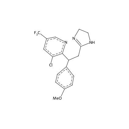 COc1ccc(C(CC2=NCCN2)c2ncc(C(F)(F)F)cc2Cl)cc1